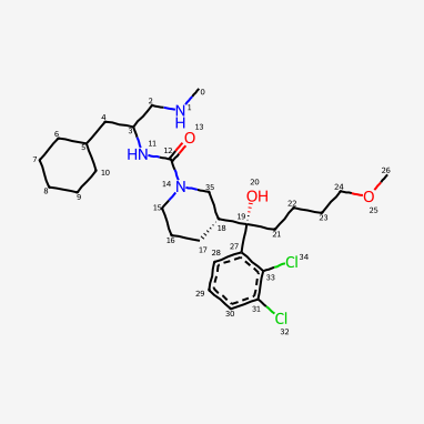 CNCC(CC1CCCCC1)NC(=O)N1CCC[C@@H]([C@@](O)(CCCCOC)c2cccc(Cl)c2Cl)C1